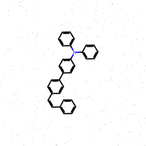 C(=C/c1ccc(-c2ccc(N(c3ccccc3)c3ccccc3)cc2)cc1)/c1ccccc1